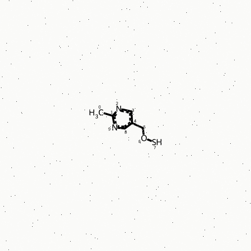 Cc1ncc(COS)cn1